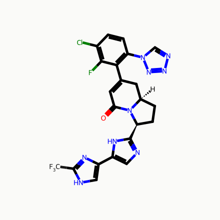 O=C1C=C(c2c(-n3cnnn3)ccc(Cl)c2F)C[C@H]2CC[C@@H](c3ncc(-c4c[nH]c(C(F)(F)F)n4)[nH]3)N12